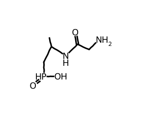 CC(C[PH](=O)O)NC(=O)CN